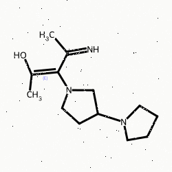 CC(=N)/C(=C(/C)O)N1CCC(N2CCCC2)C1